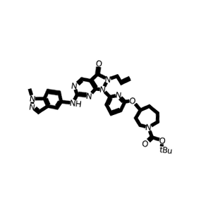 C=CCn1c(=O)c2cnc(Nc3ccc4c(cnn4C)c3)nc2n1-c1cccc(OC2CCCN(C(=O)OC(C)(C)C)CC2)n1